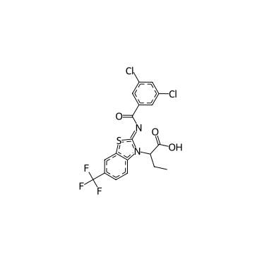 CCC(C(=O)O)n1c(=NC(=O)c2cc(Cl)cc(Cl)c2)sc2cc(C(F)(F)F)ccc21